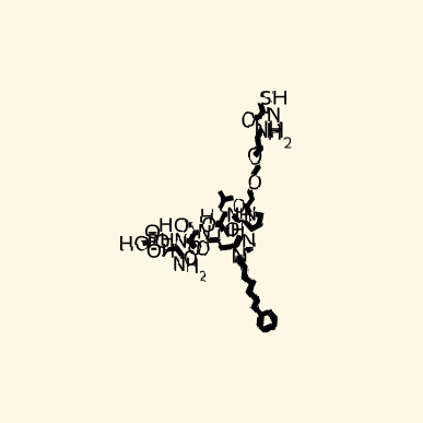 CC(C)C[C@H](NC(=O)[C@@H]1CCCN1C(=O)CCOCCOCCNC(=O)[C@@H](N)CS)C(=O)N[C@@H](Cc1cncn1CCCCCCCc1ccccc1)C(=O)N[C@@H](CO)C(=O)N[C@H](C(N)=O)[C@@H](C)OP(=O)(O)O